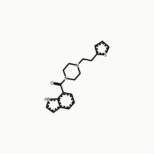 O=C(c1cccc2cc[nH]c12)N1CCN(CCc2cccs2)CC1